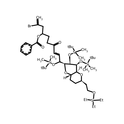 C=C(Br)CC(CCC(=O)C=CC(O[Si](C)(C)C(C)(C)C)[C@@H]1O[C@H]2CC[C@H](CCO[Si](CC)(CC)CC)O[C@@H]2[C@H](O[Si](C)(C)C(C)(C)C)[C@@H]1O[Si](C)(C)C(C)(C)C)OC(=O)c1ccccc1